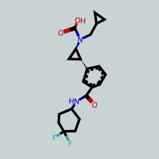 O=C(NC1CCC(F)(F)CC1)c1cccc([C@@H]2C[C@H]2N(CC2CC2)C(=O)O)c1